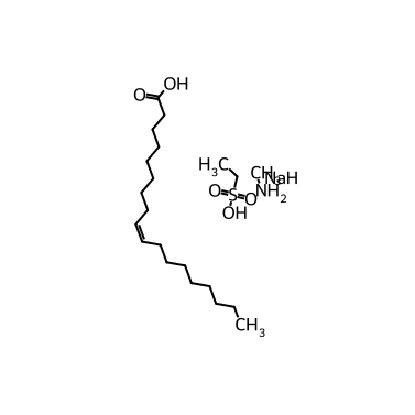 CCCCCCCC/C=C\CCCCCCCC(=O)O.CCS(=O)(=O)O.CN.[NaH]